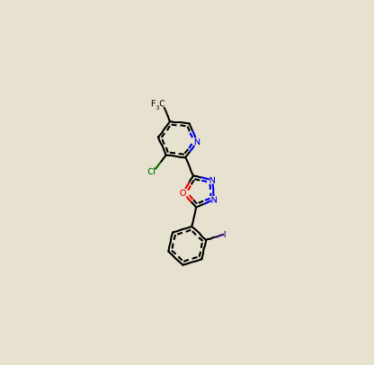 FC(F)(F)c1cnc(-c2nnc(-c3ccccc3I)o2)c(Cl)c1